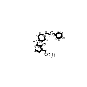 O=C(O)CC1C=CN=C(NC2CCN(CCOc3ccccc3)CC2)C1=O